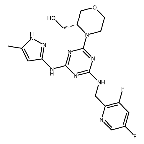 Cc1cc(Nc2nc(NCc3ncc(F)cc3F)nc(N3CCOC[C@H]3CO)n2)n[nH]1